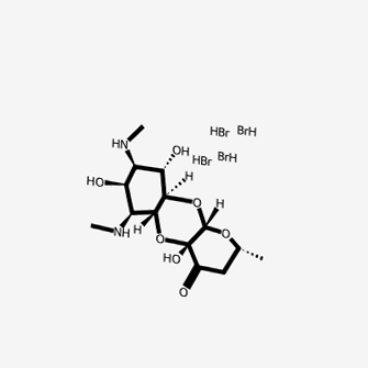 Br.Br.Br.Br.CN[C@@H]1[C@H](O)[C@H](NC)[C@H]2O[C@@]3(O)C(=O)C[C@@H](C)O[C@H]3O[C@@H]2[C@H]1O